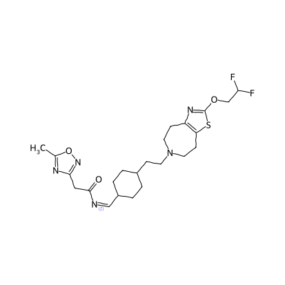 Cc1nc(CC(=O)/N=C\C2CCC(CCN3CCc4nc(OCC(F)F)sc4CC3)CC2)no1